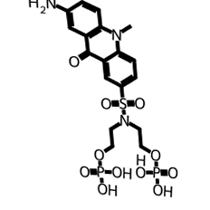 Cn1c2ccc(N)cc2c(=O)c2cc(S(=O)(=O)N(CCOP(=O)(O)O)CCOP(=O)(O)O)ccc21